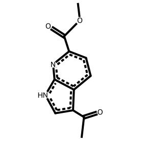 COC(=O)c1ccc2c(C(C)=O)c[nH]c2n1